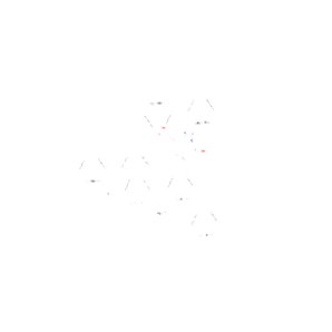 CCCCc1ccccc1-c1cc2c3c(=O)n(-c4c(CCC)cccc4-c4ccccc4)c(=O)c3c3cc(-c4ccccc4C(C)(C)C)c4ccc5ccc1c1c5c4c3c21